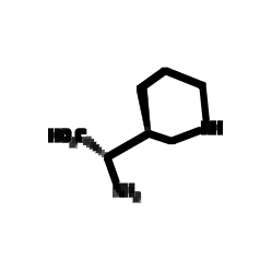 N[C@H](C(=O)O)[C@H]1CCCNC1